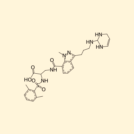 Cc1cccc(C)c1S(=O)(=O)NC(CNC(=O)c1cccc2c(CCCNC3NC=CCN3)nn(C)c12)C(=O)O